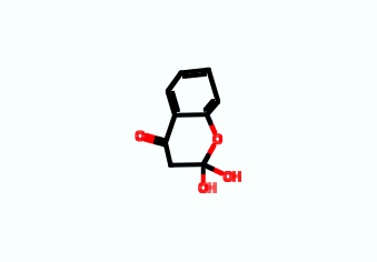 O=C1CC(O)(O)Oc2ccccc21